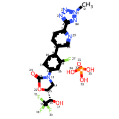 Cn1nnc(-c2ccc(-c3ccc(N4C[C@H](C(O)C(F)(F)F)OC4=O)cc3F)cn2)n1.O=P(O)(O)O